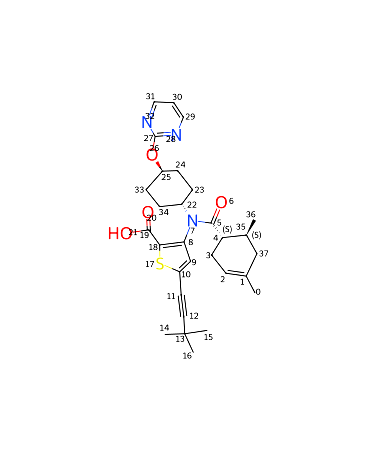 CC1=CC[C@H](C(=O)N(c2cc(C#CC(C)(C)C)sc2C(=O)O)[C@H]2CC[C@H](Oc3ncccn3)CC2)[C@@H](C)C1